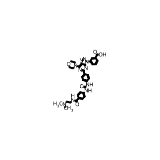 CN(C)CCNC(=O)c1ccc(NC(=O)Nc2ccc(-c3nc(N4CCOCC4)c4nnn(-c5cccc(C(=O)O)c5)c4n3)cc2)cc1